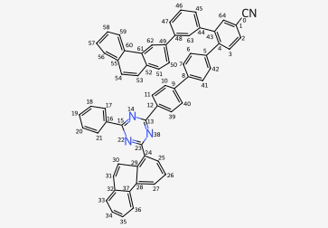 N#Cc1ccc(-c2ccc(-c3ccc(-c4nc(-c5ccccc5)nc(-c5cccc6c5ccc5ccccc56)n4)cc3)cc2)c(-c2cccc(-c3ccc4ccc5ccccc5c4c3)c2)c1